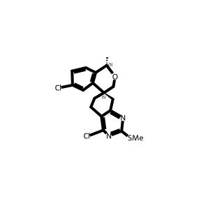 CSc1nc(Cl)c2c(n1)C[C@]1(CC2)CO[C@@H](C)c2ccc(Cl)cc21